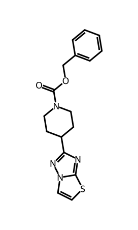 O=C(OCc1ccccc1)N1CCC(c2nc3sccn3n2)CC1